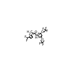 CN(C(=O)Nc1nc(OCC(F)(F)F)cc(OCC(F)(F)F)n1)c1ccc(C(F)F)s1